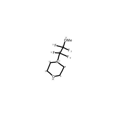 COC(F)(F)C(F)(F)N1CCOCC1